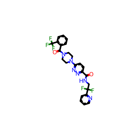 O=C(NCC(F)(F)c1ccccn1)c1ccc(N2CCN(C(=O)c3ccccc3C(F)(F)F)CC2)nn1